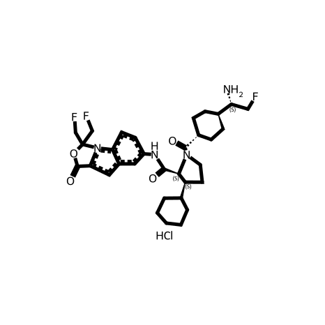 Cl.N[C@H](CF)[C@H]1CC[C@H](C(=O)N2CC[C@@H](C3CCCCC3)[C@H]2C(=O)Nc2ccc3c(c2)cc2n3C(CF)(CF)OC2=O)CC1